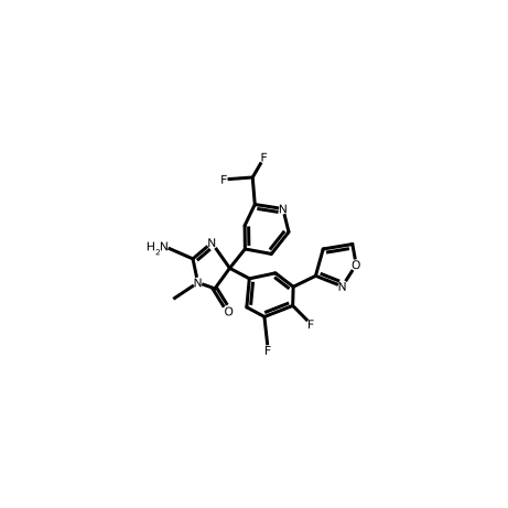 CN1C(=O)C(c2ccnc(C(F)F)c2)(c2cc(F)c(F)c(-c3ccon3)c2)N=C1N